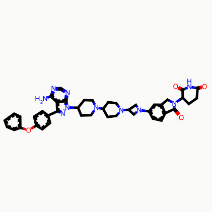 Nc1ncnc2c1c(-c1ccc(Oc3ccccc3)cc1)nn2C1CCN(C2CCN(C3CN(c4ccc5c(c4)CN(C4CCC(=O)NC4=O)C5=O)C3)CC2)CC1